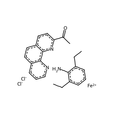 CC(=O)c1ccc2ccc3cccnc3c2n1.CCc1cccc(CC)c1N.[Cl-].[Cl-].[Fe+2]